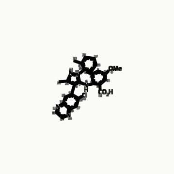 COc1cc(C)c(Nc2c(-c3cc4nccnc4cc3Cl)c(C)nn2-c2ccccc2C)c(C(=O)O)c1